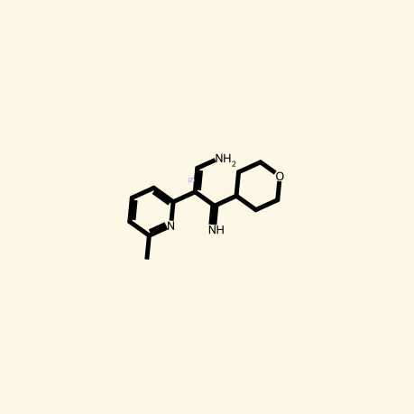 Cc1cccc(/C(=C/N)C(=N)C2CCOCC2)n1